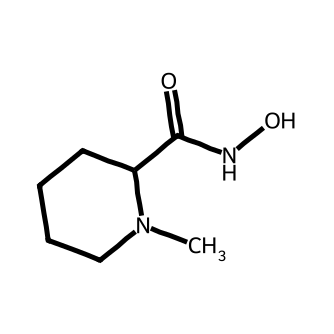 CN1CCCCC1C(=O)NO